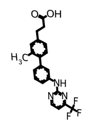 Cc1cc(CCC(=O)O)ccc1-c1cccc(Nc2nccc(C(F)(F)F)n2)c1